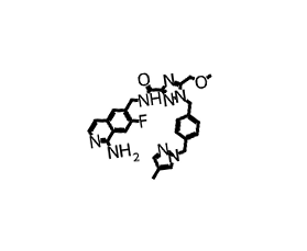 COCc1nc(C(=O)NCc2cc3ccnc(N)c3cc2F)nn1Cc1ccc(Cn2cc(C)cn2)cc1